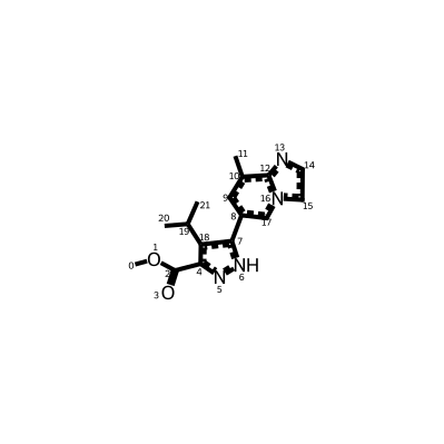 COC(=O)c1n[nH]c(-c2cc(C)c3nccn3c2)c1C(C)C